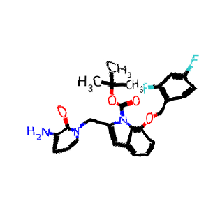 CC(C)(C)OC(=O)n1c(Cn2cccc(N)c2=O)cc2cccc(OCc3ccc(F)cc3F)c21